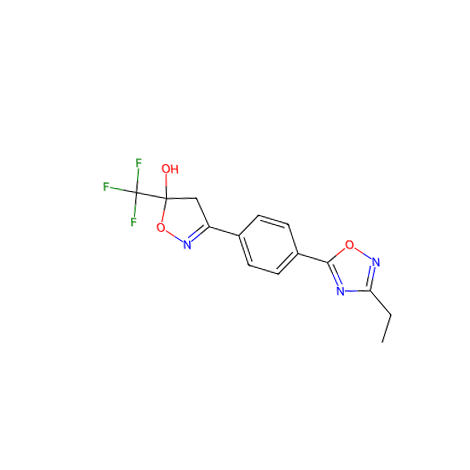 CCc1noc(-c2ccc(C3=NOC(O)(C(F)(F)F)C3)cc2)n1